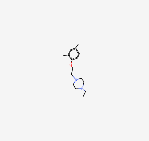 CCN1CCN(CCOc2ccc(C)cc2C)CC1